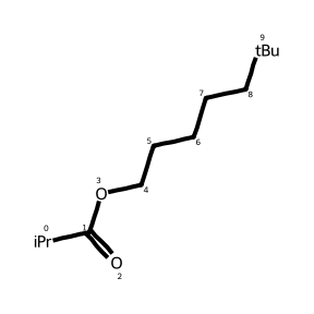 CC(C)C(=O)OCCCCCC(C)(C)C